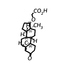 C[C@]12CC[C@H]3[C@@H](CCC4=CC(=O)CC[C@@]43C)[C@@H]1CC[C@@H]2OCC(=O)O